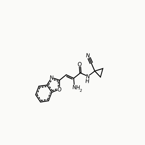 N#CC1(NC(=O)C(N)=Cc2nc3ccccc3o2)CC1